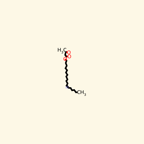 CCCCC/C=C\CCCCCCCCCCCOC(=O)CC(C)=O